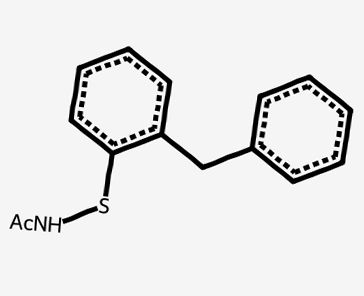 CC(=O)NSc1ccccc1Cc1ccccc1